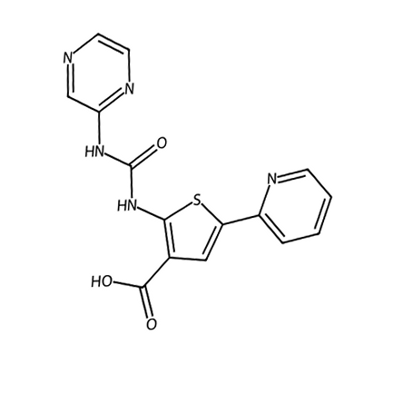 O=C(Nc1cnccn1)Nc1sc(-c2ccccn2)cc1C(=O)O